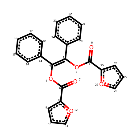 O=C(OC(=C(OC(=O)c1ccco1)c1ccccc1)c1ccccc1)c1ccco1